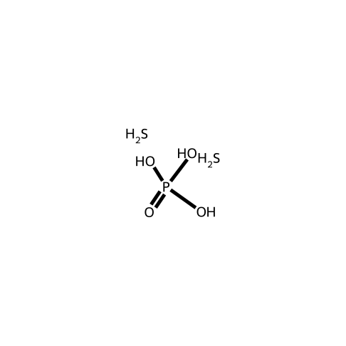 O=P(O)(O)O.S.S